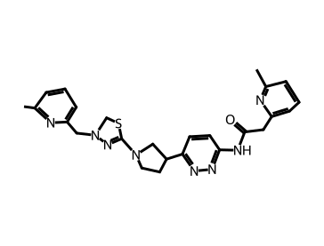 Cc1cccc(CC(=O)Nc2ccc(C3CCN(C4=NN(Cc5cccc(C)n5)CS4)C3)nn2)n1